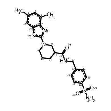 Cc1cc(C)c2nc(N3CCCC(C(=O)NCc4ccc(S(N)(=O)=O)cc4)C3)sc2c1